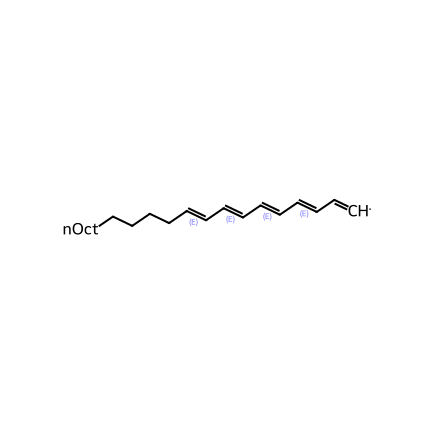 [CH]=C/C=C/C=C/C=C/C=C/CCCCCCCCCCCC